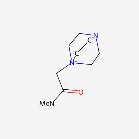 CNC(=O)C[N+]12CCN(CC1)CC2